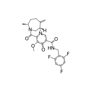 C=C1CC[C@H](C)N2C[C@H]1n1cc(C(=O)NCc3c(F)cc(F)cc3F)c(=O)c(OC)c1C2=O